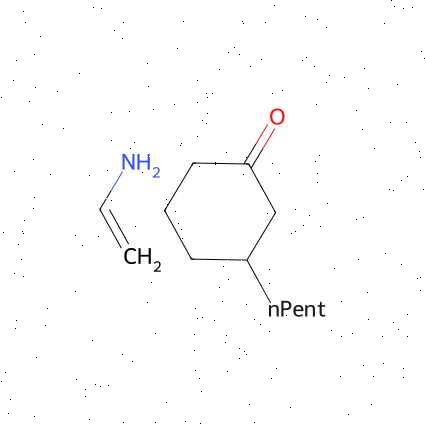 C=CN.CCCCCC1CCCC(=O)C1